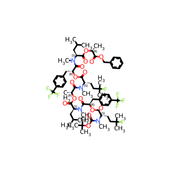 CC(C)C[C@@H](C(=O)O[C@H](C)C(=O)N(C)[C@@H](CCC(C)(C)F)C(=O)O[C@H](Cc1ccc(C(F)(F)F)cc1)C(=O)N(C)[C@@H](CC(C)C)C(=O)O[C@H](C)C(=O)OCc1ccccc1)N(C)C(=O)[C@@H](Cc1ccc(C(F)(F)F)cc1)OC(=O)[C@H](CCC(C)(C)F)N(C)C(=O)OC(C)(C)C